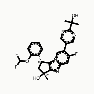 CC(C)(O)c1ncc(-c2cn3c4c(nc3cc2F)[C@](C)(O)C[C@@H]4c2ccccc2OC(F)F)cn1